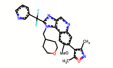 COc1cc2c(cc1-c1c(C)noc1C)ncc1nc(C(F)(F)c3cccnc3)n(CC3CCOCC3)c12